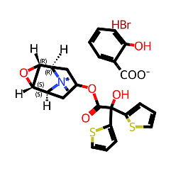 Br.C[N+]1(C)[C@@H]2CC(OC(=O)C(O)(c3cccs3)c3cccs3)C[C@H]1[C@@H]1O[C@@H]12.O=C([O-])c1ccccc1O